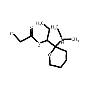 [CH2]CC(NC(=O)CCl)C1([SiH](C)C)CCCCO1